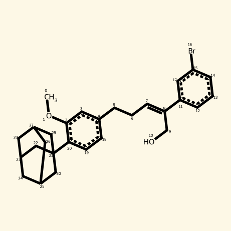 COc1cc(CCC=C(CO)c2cccc(Br)c2)ccc1C12CC3CC(CC(C3)C1)C2